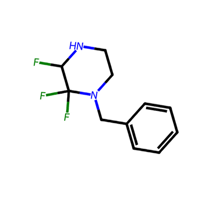 FC1NCCN(Cc2ccccc2)C1(F)F